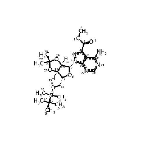 COC(=O)c1nn([C@@H]2O[C@H](CO[Si](C)(C)C(C)(C)C)[C@H]3OC(C)(C)O[C@H]32)c2ncnc(N)c12